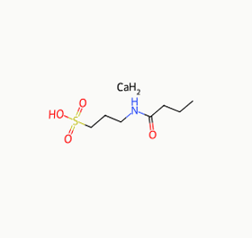 CCCC(=O)NCCCS(=O)(=O)O.[CaH2]